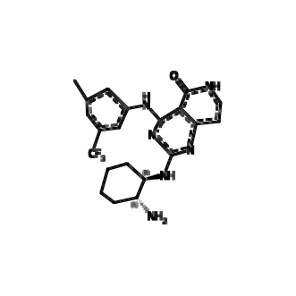 Cc1cc(Nc2nc(N[C@@H]3CCCC[C@H]3N)nc3cc[nH]c(=O)c23)cc(C(F)(F)F)c1